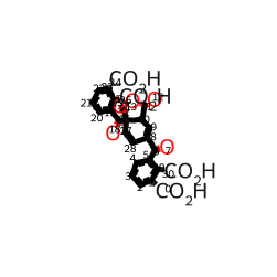 O=C(O)c1cccc(C(=O)C2=CC3C(=O)OC(=O)C3(C(=O)c3cccc(C(=O)O)c3C(=O)O)C=C2)c1C(=O)O